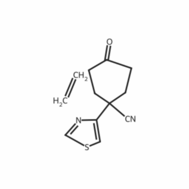 C=C.N#CC1(c2cscn2)CCC(=O)CC1